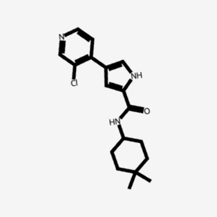 CC1(C)CCC(NC(=O)c2cc(-c3ccncc3Cl)c[nH]2)CC1